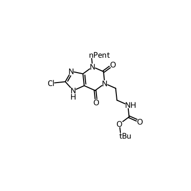 CCCCCn1c(=O)n(CCNC(=O)OC(C)(C)C)c(=O)c2[nH]c(Cl)nc21